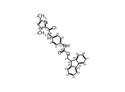 Cc1cn(C)c(C(=O)Nc2ccc(NC(=O)OCC3c4ccccc4-c4ccccc43)cc2)n1